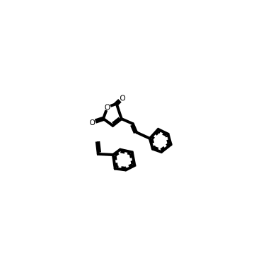 C=Cc1ccccc1.O=C1C=C(C=Cc2ccccc2)C(=O)O1